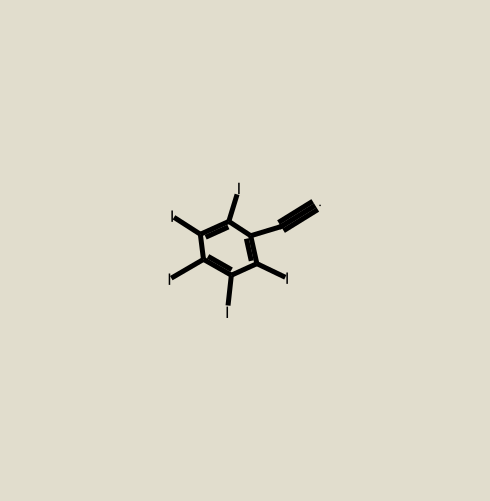 [C]#Cc1c(I)c(I)c(I)c(I)c1I